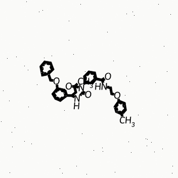 Cc1ccc(OCCNC(=O)c2cccc(N3C(=O)NC4CC3(C)Oc3c(OCc5ccccc5)cccc34)c2)cc1